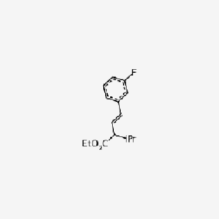 CCOC(=O)C(C=Cc1cccc(F)c1)C(C)C